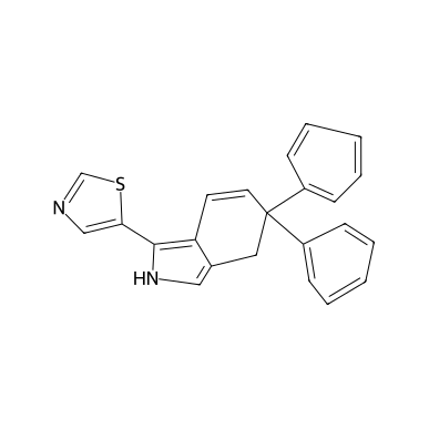 C1=CC(c2ccccc2)(c2ccccc2)Cc2c[nH]c(-c3cncs3)c21